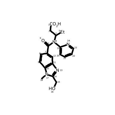 CCC(CC(=O)O)N(C(=O)c1ccc2c(c1)nc(CO)n2C)c1ccccn1